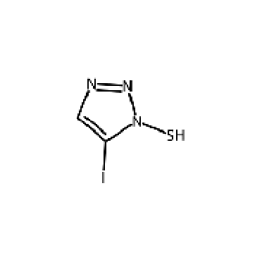 Sn1nncc1I